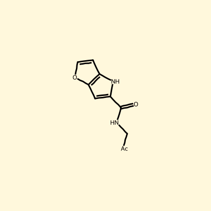 CC(=O)CNC(=O)c1cc2occc2[nH]1